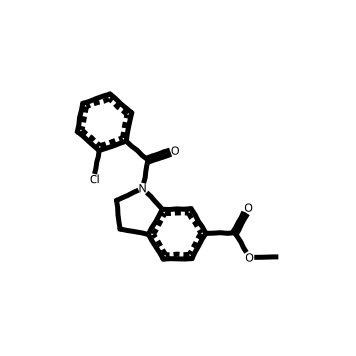 COC(=O)c1ccc2c(c1)N(C(=O)c1ccccc1Cl)CC2